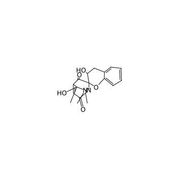 CC1(O)C2=CC(=O)N(C3(Oc4ccccc4CC3O)C2=O)[N+]1(C)C